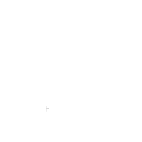 FCc1ccccc1